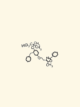 Cc1oc(-c2ccccc2)nc1CCOc1ccc(OC(C)(C)C(=O)O)c(Cc2ccccc2)c1